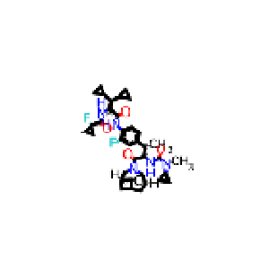 C[C@@H](c1ccc(NC(=O)[C@@H](NC(=O)C2(F)CC2)C(C2CC2)C2CC2)c(F)c1)[C@@H](NC(=O)N(C)C1CC1)C(=O)N1C[C@H]2CC3C[C@@H](C1)C3C2